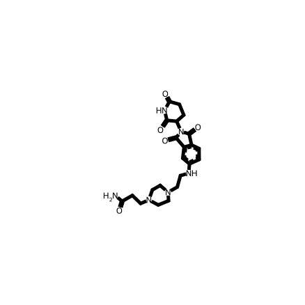 NC(=O)CCN1CCN(CCNc2ccc3c(c2)C(=O)N(C2CCC(=O)NC2=O)C3=O)CC1